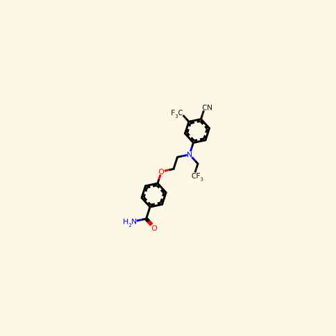 N#Cc1ccc(N(CCOc2ccc(C(N)=O)cc2)CC(F)(F)F)cc1C(F)(F)F